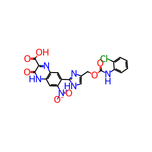 O=C(Nc1ccccc1Cl)OCc1c[nH]c(-c2cc3nc(C(=O)O)c(=O)[nH]c3cc2[N+](=O)[O-])n1